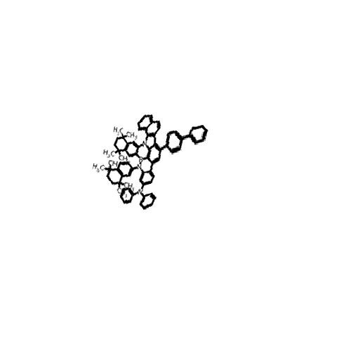 CC1(C)CCC(C)(C)c2cc(N3B4c5cc6c(cc5-n5c7c4c(cc(-c4ccc(-c8ccccc8)cc4)c7c4ccc7ccccc7c45)-c4ccc(N(c5ccccc5)c5ccccc5)cc43)C(C)(C)CCC6(C)C)ccc21